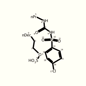 CCCCCCCCCCCCOS(=O)(=O)O.CCCNC(=O)NS(=O)(=O)c1ccc(Cl)cc1